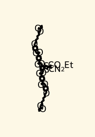 C=CC(=O)OCCCCCCOC1CCC(OC(=O)C2CCC(C(=O)Oc3ccc(OC(=O)C4CCC(C(=O)OC5CCC(OCCCCCCOC(=O)C=C)CC5)CC4)c4c3SC(=C(C#N)C(=O)OCC)S4)CC2)CC1